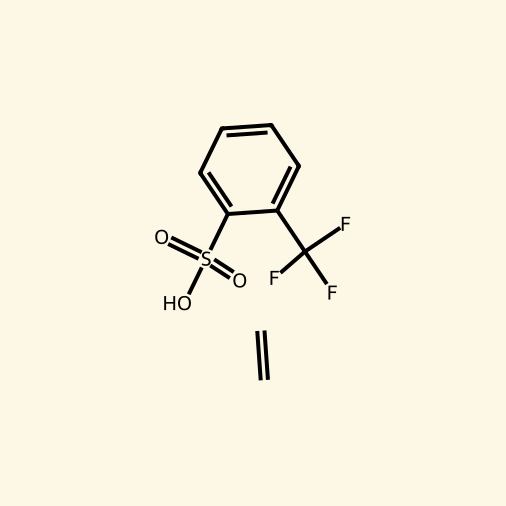 C=C.O=S(=O)(O)c1ccccc1C(F)(F)F